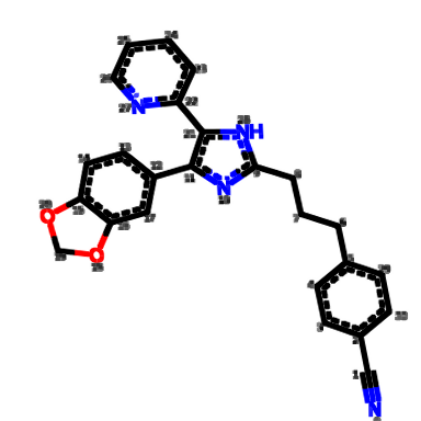 N#Cc1ccc(CCCc2nc(-c3ccc4c(c3)OCO4)c(-c3ccccn3)[nH]2)cc1